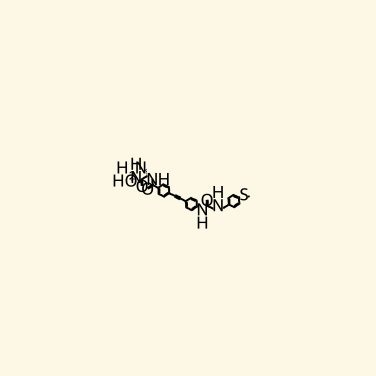 CSc1ccc(CNCC(=O)Nc2ccc(C#Cc3ccc(C(=O)N[C@@H](CN)C(=O)NO)cc3)cc2)cc1